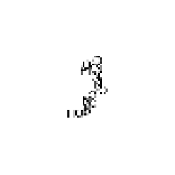 CC1(O)CCN(c2nc3ccc(C(=O)N4CCN(c5nc6ccccc6c(=O)[nH]5)CC4)cc3o2)C1